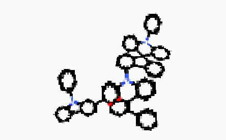 c1ccc(-c2ccccc2-c2ccccc2N(c2ccc(-c3ccc4c5ccccc5n(-c5ccccc5)c4c3)cc2)c2cccc3c2-c2ccccc2C32c3ccccc3N(c3ccccc3)c3ccccc32)cc1